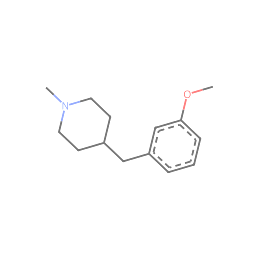 COc1cccc(CC2CCN(C)CC2)c1